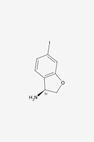 N[C@@H]1COc2cc(I)ccc21